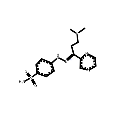 CN(C)CC/C(=N\Nc1ccc(S(N)(=O)=O)cc1)c1cnccn1